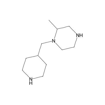 CC1CNCCN1CC1CCNCC1